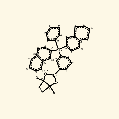 CC1(C)OB(c2cccc([Si](c3ccccc3)(c3ccc4ccccc4c3)c3ccc4ccccc4c3)c2)OC1(C)C